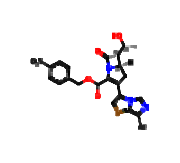 CC(=O)c1ncn2c(C3=C(C(=O)OCc4ccc([N+](=O)[O-])cc4)N4C(=O)[C@H]([C@@H](C)O)[C@H]4C3)csc12